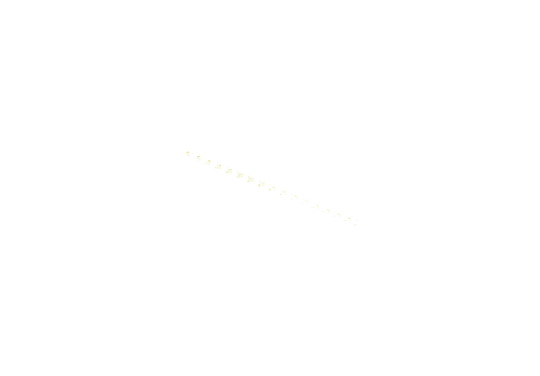 S=S=S=S=S=S=S=S=S=S=S=S=S=S=S=S=S=S=S=S=S=S=S=S=S=S=S=S=S=S=S=S=S=S